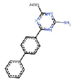 CC(=O)Nc1nc(N)nc(-c2ccc(-c3ccccc3)cc2)n1